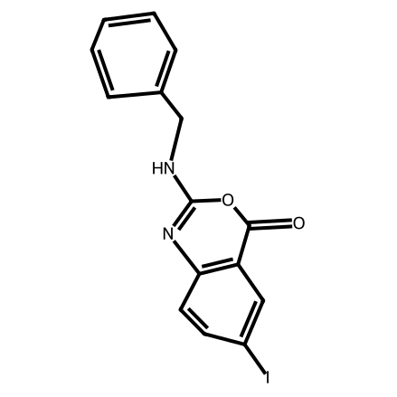 O=c1oc(NCc2ccccc2)nc2ccc(I)cc12